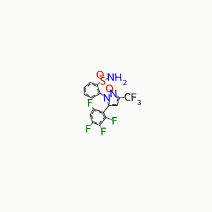 NS(=O)(=O)c1ccccc1-n1nc(C(F)(F)F)cc1-c1c(F)cc(F)c(F)c1F